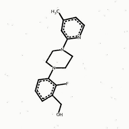 Cc1ccnc(N2CCN(c3cccc(CO)c3F)CC2)c1